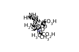 CC(C)(O/N=C(\C(=O)NC1C(=O)N(S(=O)(=O)O)[C@H]1Cn1cnc(CNC(=N)N)n1)c1csc(N)n1)C(=O)O